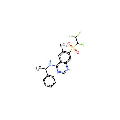 CC(Nc1ncnc2cc(S(=O)(=O)C(F)C(F)F)c([N+](=O)[O-])cc12)c1ccccc1